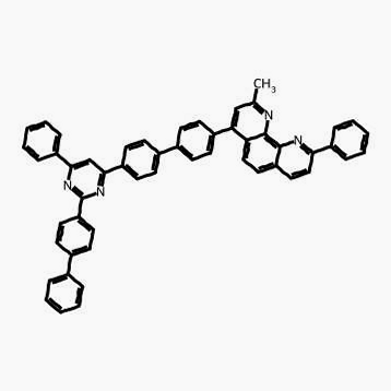 Cc1cc(-c2ccc(-c3ccc(-c4cc(-c5ccccc5)nc(-c5ccc(-c6ccccc6)cc5)n4)cc3)cc2)c2ccc3ccc(-c4ccccc4)nc3c2n1